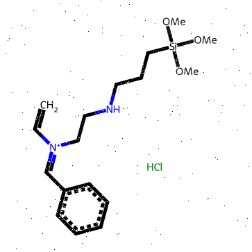 C=C[N+](=Cc1ccccc1)CCNCCC[Si](OC)(OC)OC.Cl